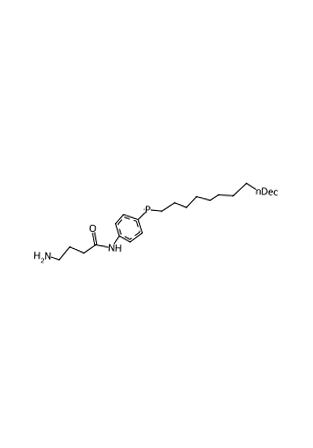 CCCCCCCCCCCCCCCCCC[P]c1ccc(NC(=O)CCCN)cc1